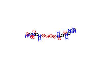 C[C@H]1CCCN1Cc1nc2cc(NC(=O)c3ccc(C(=O)NCCOCCOCCOCCOCCNc4ccc5c(c4)C(=O)N(C4CCC(=O)NC4=O)C5=O)cc3)ccc2[nH]1